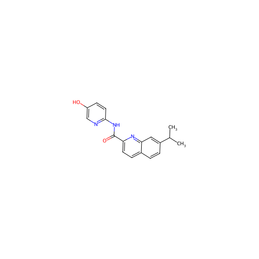 CC(C)c1ccc2ccc(C(=O)Nc3ccc(O)cn3)nc2c1